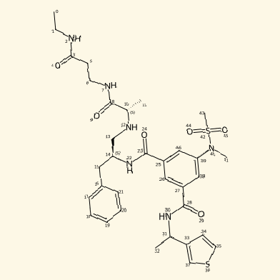 CCNC(=O)CCNC(=O)[C@H](C)NC[C@H](Cc1ccccc1)NC(=O)c1cc(C(=O)NC(C)c2ccsc2)cc(N(C)S(C)(=O)=O)c1